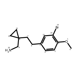 COc1ccc(CCC2(CN)CC2)cc1Br